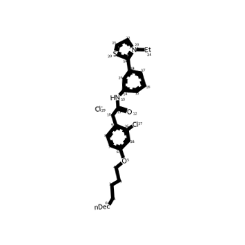 CCCCCCCCCCCCCCOc1ccc(CC(=O)Nc2cccc(-c3scc[n+]3CC)c2)c(Cl)c1.[Cl-]